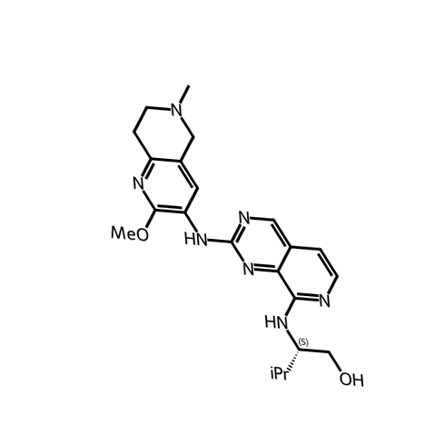 COc1nc2c(cc1Nc1ncc3ccnc(N[C@H](CO)C(C)C)c3n1)CN(C)CC2